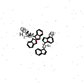 C1=C[CH]([Zr+4][CH]2C=Cc3ccccc32)c2ccccc21.C=C.[CH3][Zr]([CH3])(=[SiH2])([CH]1C=Cc2ccccc21)[CH]1C=Cc2ccccc21.[Cl-].[Cl-].[Cl-].[Cl-]